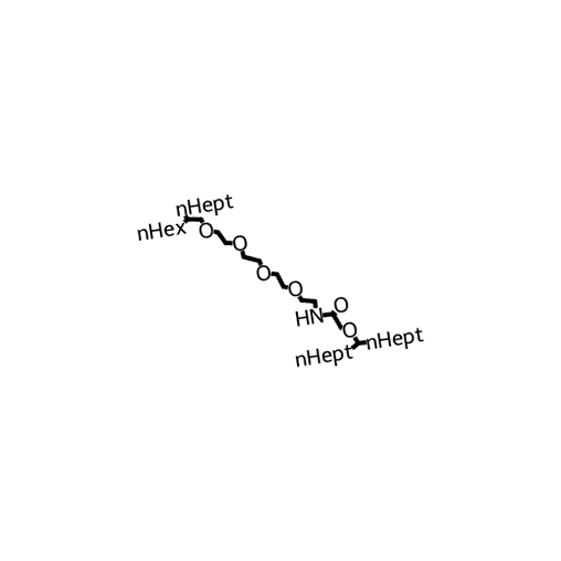 CCCCCCCC(CCCCCC)COCCOCCOCCOCCNC(=O)COC(CCCCCCC)CCCCCCC